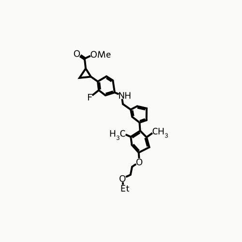 CCOCCOc1cc(C)c(-c2cccc(CNc3ccc(C4CC4C(=O)OC)c(F)c3)c2)c(C)c1